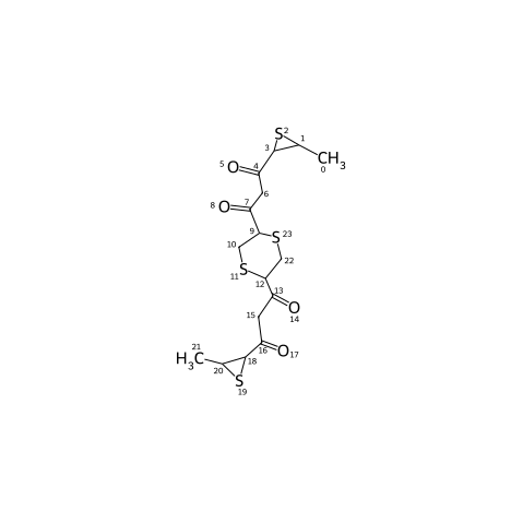 CC1SC1C(=O)CC(=O)C1CSC(C(=O)CC(=O)C2SC2C)CS1